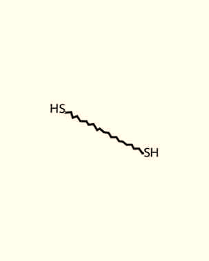 SCCCCCCCCCCCCCCCCCCCCCS